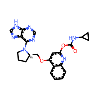 O=C(NC1CC1)Oc1cc(OC[C@H]2CCCN2c2ncnc3[nH]cnc23)c2ccccc2n1